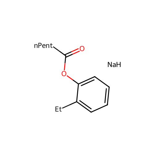 CCCCCC(=O)Oc1ccccc1CC.[NaH]